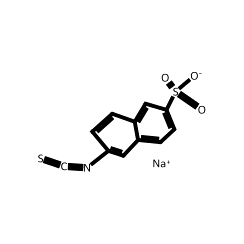 O=S(=O)([O-])c1ccc2cc(N=C=S)ccc2c1.[Na+]